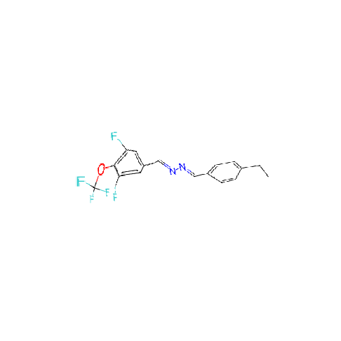 CCc1ccc(C=NN=Cc2cc(F)c(OC(F)(F)F)c(F)c2)cc1